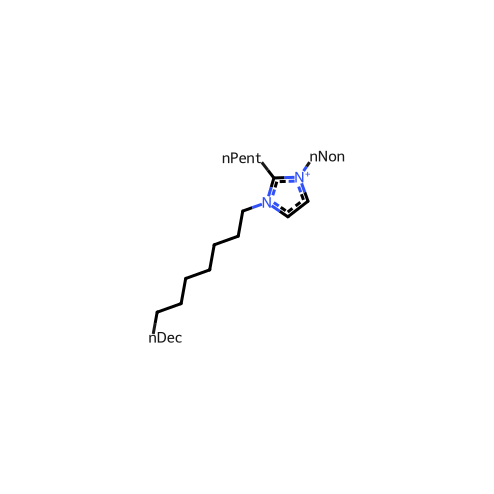 CCCCCCCCCCCCCCCCCn1cc[n+](CCCCCCCCC)c1CCCCC